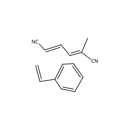 C=Cc1ccccc1.CC(C#N)=CC=CC#N